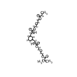 C=C(C)C(=O)OCCOCCOC(=O)NCC1CCCC(CNC(=O)OCCOCCOC(=O)CC)C1